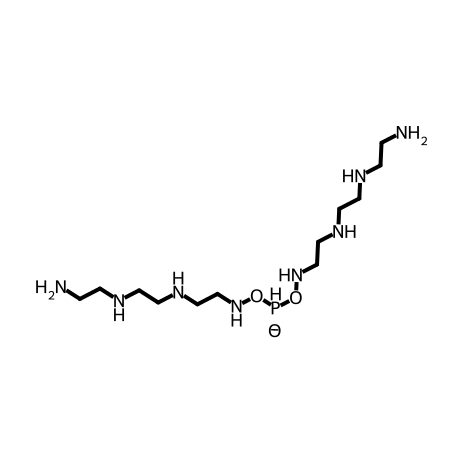 NCCNCCNCCNO[PH](=O)ONCCNCCNCCN